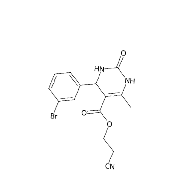 CC1=C(C(=O)OCCC#N)C(c2cccc(Br)c2)NC(=O)N1